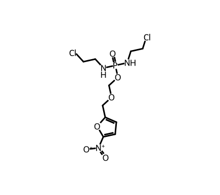 O=[N+]([O-])c1ccc(COCOP(=O)(NCCCl)NCCCl)o1